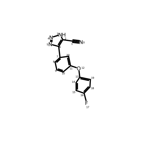 N#Cc1[nH]nnc1-c1cccc(Oc2ccc(F)cc2)c1